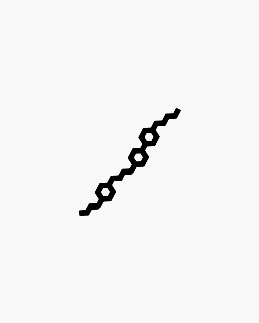 CCC=CC1CCC(CCC=CC2CCC(C3CCC(CCCCC)CC3)CC2)CC1